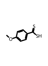 COc1ccc(C(=S)S)cc1